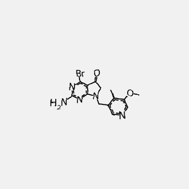 COc1cncc(CN2CC(=O)c3c(Br)nc(N)nc32)c1C